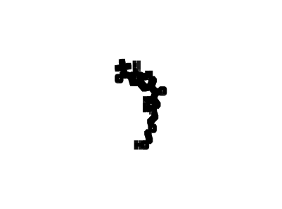 CC(C)(C)C(=O)c1cc2cc(C(=O)c3cn(CCOCCO)nn3)cnc2[nH]1